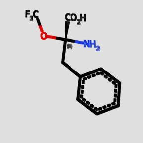 N[C@](Cc1ccccc1)(OC(F)(F)F)C(=O)O